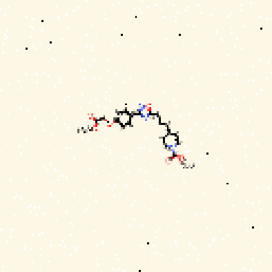 CC(C)(C)OC(=O)COc1ccc(-c2noc(CCCC3CCN(C(=O)OC(C)(C)C)CC3)n2)cc1